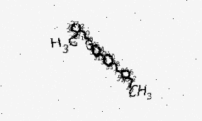 CCCC1CCC(CCc2ccc(-c3ccc(OCCCC4CCCCC4CCC)cc3)cc2)CC1